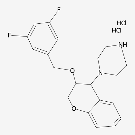 Cl.Cl.Fc1cc(F)cc(COC2COc3ccccc3C2N2CCNCC2)c1